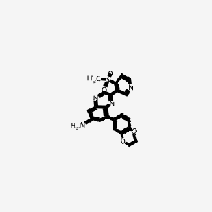 CS(=O)(=O)c1ccncc1-c1cnc2cc(N)cc(-c3ccc4c(c3)OCCO4)c2n1